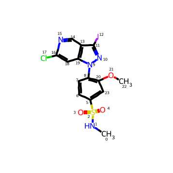 CNS(=O)(=O)c1ccc(-n2nc(I)c3cnc(Cl)cc32)c(OC)c1